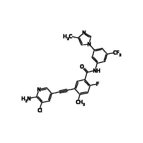 Cc1cn(-c2cc(NC(=O)c3cc(C#Cc4cnc(N)c(Cl)c4)c(C)cc3F)cc(C(F)(F)F)c2)cn1